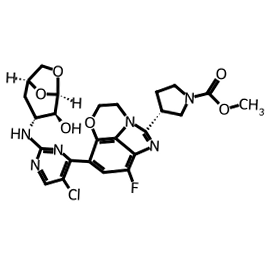 COC(=O)N1CC[C@@H](c2nc3c(F)cc(-c4nc(N[C@@H]5C[C@H]6CO[C@H](O6)[C@H]5O)ncc4Cl)c4c3n2CCO4)C1